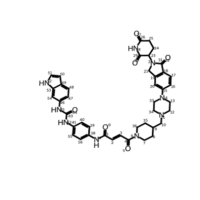 O=C(/C=C/C(=O)N1CCC(CN2CCN(c3ccc4c(c3)CN(C3CCC(=O)NC3=O)C4=O)CC2)CC1)Nc1ccc(NC(=O)Nc2ccc3cc[nH]c3c2)cc1